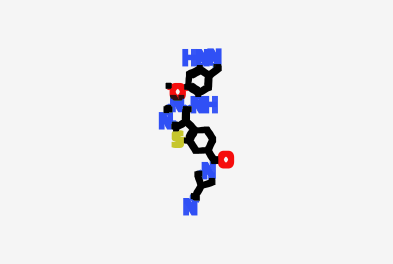 COc1cc2[nH]ncc2cc1Nc1ncnc2sc3c(c12)CCC(C(=O)N1CC(C#N)C1)C3